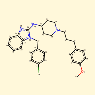 COc1ccc(CCCN2CCC(Nc3nc4ccccc4n3Cc3ccc(F)cc3)CC2)cc1